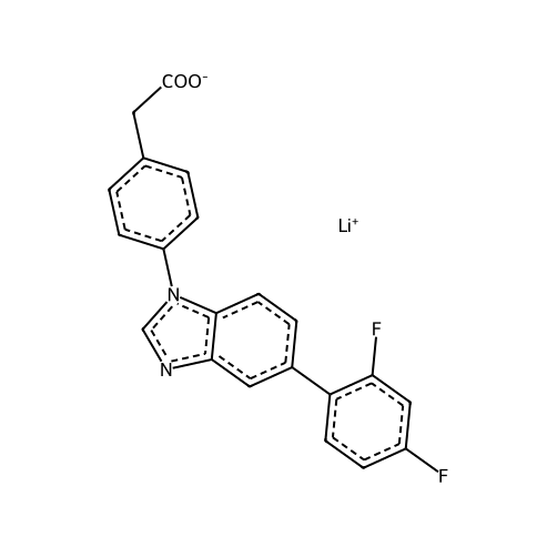 O=C([O-])Cc1ccc(-n2cnc3cc(-c4ccc(F)cc4F)ccc32)cc1.[Li+]